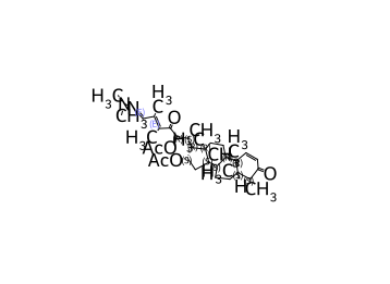 CC(=O)O[C@H]1C[C@@]2(C)[C@@H]3CC[C@H]4[C@H](C)C(=O)C=C[C@]4(C)[C@]3(C)CC[C@]2(C)[C@H]1[C@H](C)[C@@H](OC(C)=O)C(=O)/C(C)=C(C)/C=N/N(C)C